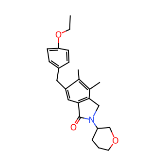 CCOc1ccc(Cc2cc3c(c(C)c2C)CN(C2CCCOC2)C3=O)cc1